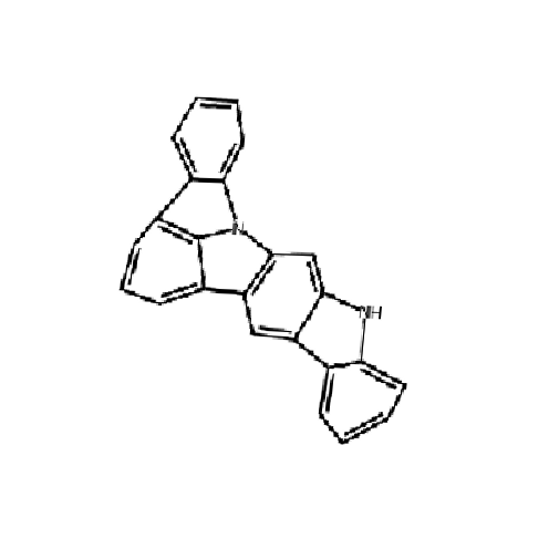 c1ccc2c(c1)[nH]c1cc3c(cc12)c1cccc2c4ccccc4n3c21